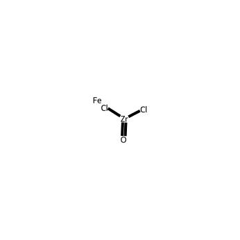 [Fe].[O]=[Zr]([Cl])[Cl]